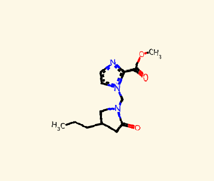 CCCC1CC(=O)N(Cn2ccnc2C(=O)OC)C1